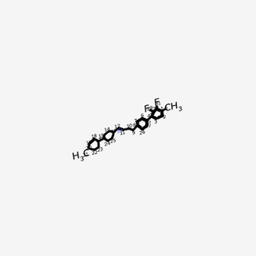 Cc1ccc(-c2ccc(CC/C=C/C3CCC(C4C=CC(C)CC4)CC3)cc2)c(F)c1F